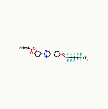 CCCCCCCC1Oc2ccc(-c3ncc(-c4ccc(OCC(F)(F)C(F)(F)C(F)(F)C(F)(F)C(F)(F)C(F)(F)F)cc4)cn3)cc2O1